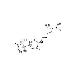 C[C@H](CO)[C@@H](O)[C@H](O)[C@@H](O)CN(C)C(=O)NCCCC[C@H](N)C(=O)O